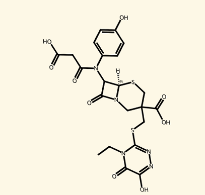 CCn1c(SCC2(C(=O)O)CS[C@@H]3C(N(C(=O)CC(=O)O)c4ccc(O)cc4)C(=O)N3C2)nnc(O)c1=O